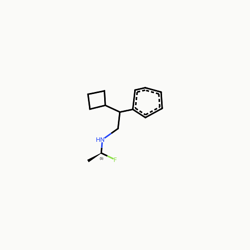 C[C@H](F)NCC(c1ccccc1)C1CCC1